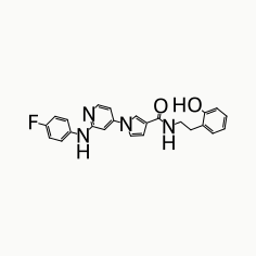 O=C(NCCc1ccccc1O)c1ccn(-c2ccnc(Nc3ccc(F)cc3)c2)c1